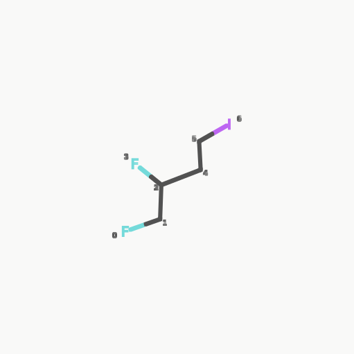 FCC(F)CCI